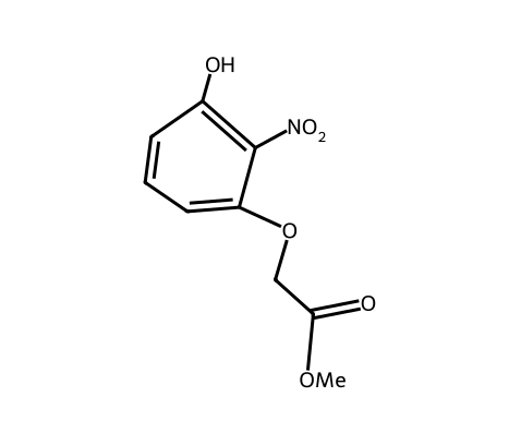 COC(=O)COc1cccc(O)c1[N+](=O)[O-]